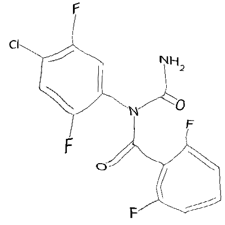 NC(=O)N(C(=O)c1c(F)cccc1F)c1cc(F)c(Cl)cc1F